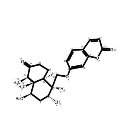 CC(=O)O[C@@H]1C[C@@H](C)[C@](C)(COc2ccc3ccc(=O)oc3c2)[C@@H]2CCC(=O)[C@H](C)[C@@]12C